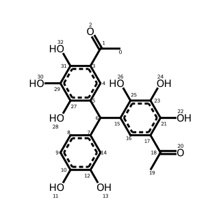 CC(=O)c1cc(C(c2ccc(O)c(O)c2)c2cc(C(C)=O)c(O)c(O)c2O)c(O)c(O)c1O